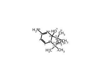 C[Si](C)(C)N1C=CC(N)=NC1(O)[Si](C)(C)C